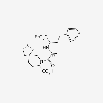 CCOC(=O)C(CCc1ccccc1)N[C@@H](C)C(=O)N1CC2(CCSC2)CCC1C(=O)O